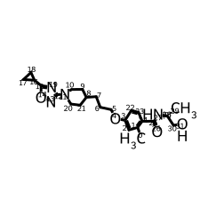 Cc1cc(OCCCC2CCN(c3noc(C4CC4)n3)CC2)ccc1C(=O)N[C@H](C)CO